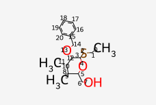 CCS[C@H]1OC(CO)[C@@H](C)[C@H](C)C1OCc1ccccc1